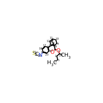 CCCC(C)OC(=O)C12CCC(CC1)CC2c1ccc(N=C=S)cc1